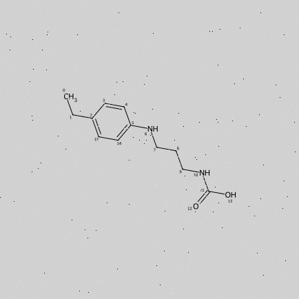 CCc1ccc(NCCCNC(=O)O)cc1